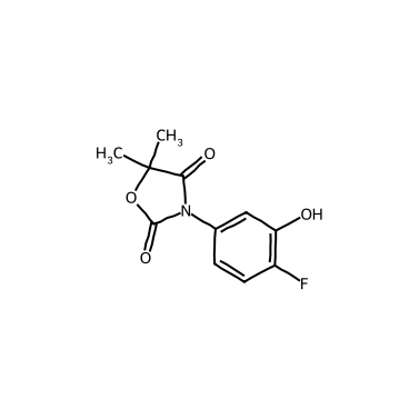 CC1(C)OC(=O)N(c2ccc(F)c(O)c2)C1=O